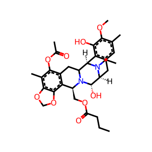 CCCC(=O)OC[C@H]1c2c(c(OC(C)=O)c(C)c3c2OCO3)CC2[C@H]3c4c(cc(C)c(OC)c4O)C[C@@H]([C@H](O)N21)N3CC